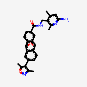 Cc1cc(N)nc(C)c1CNC(=O)c1ccc2c(c1)c1oc2c2cc(-c3c(C)noc3C)ccc21